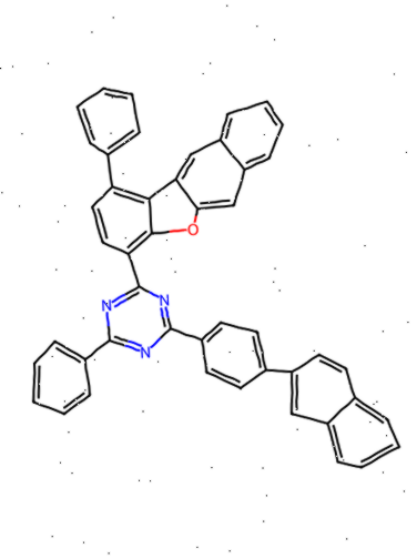 c1ccc(-c2nc(-c3ccc(-c4ccc5ccccc5c4)cc3)nc(-c3ccc(-c4ccccc4)c4c3oc3cc5ccccc5cc34)n2)cc1